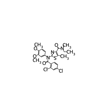 CCN(C)C(=O)c1nc(N(C(=O)c2ccc(Cl)cc2Cl)c2ccc(OC)c(OC)c2)sc1C